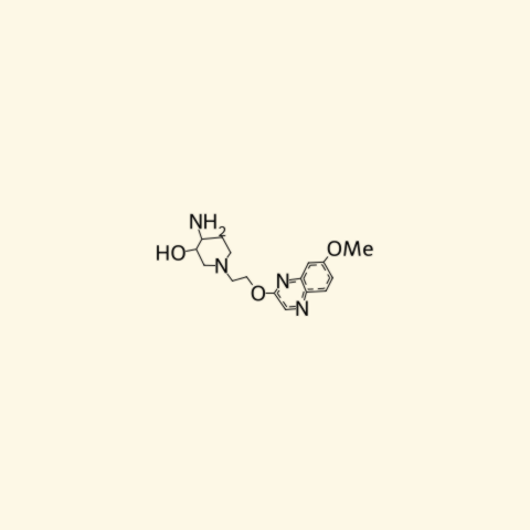 COc1ccc2ncc(OCCN3CCC(N)C(O)C3)nc2c1